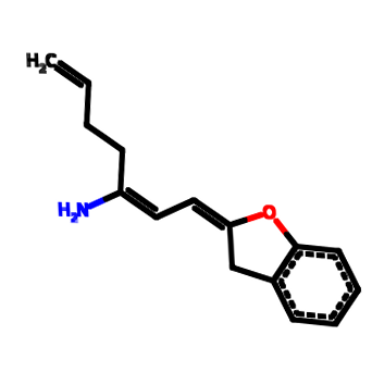 C=CCC/C(N)=C\C=C1/Cc2ccccc2O1